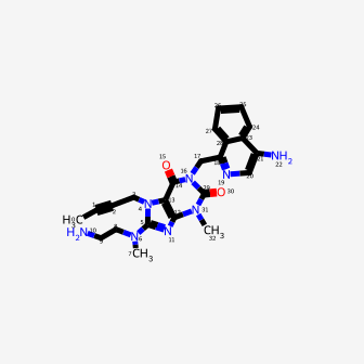 CC#CCn1c(N(C)CCN)nc2c1c(=O)n(Cc1ncc(N)c3ccccc13)c(=O)n2C